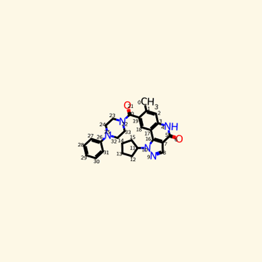 Cc1cc2[nH]c(=O)c3cnn(C4CCCC4)c3c2cc1C(=O)N1CCN(c2ccccc2)CC1